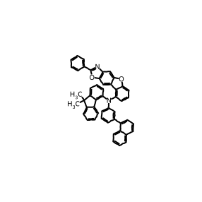 CC1(C)c2ccccc2-c2c(N(c3cccc(-c4cccc5ccccc45)c3)c3cccc4oc5cc6nc(-c7ccccc7)oc6cc5c34)cccc21